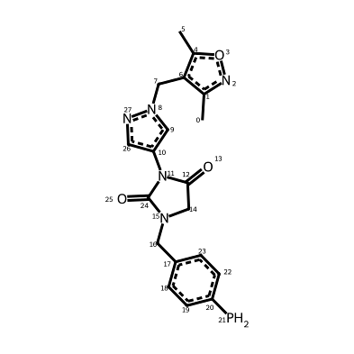 Cc1noc(C)c1Cn1cc(N2C(=O)CN(Cc3ccc(P)cc3)C2=O)cn1